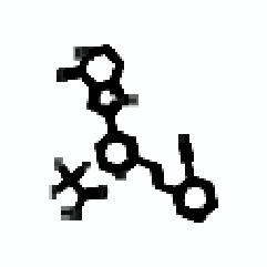 N#Cc1ccccc1C=Cc1cc(-c2cc3c([nH]2)CCNC3=O)ccn1.O=C(O)C(F)(F)F